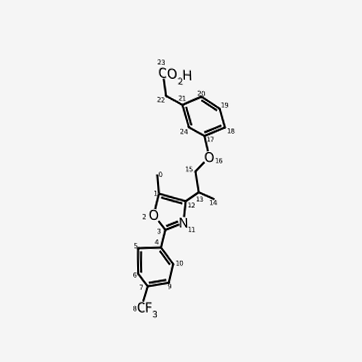 Cc1oc(-c2ccc(C(F)(F)F)cc2)nc1C(C)COc1cccc(CC(=O)O)c1